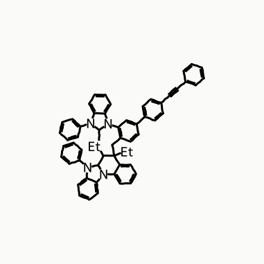 CCC1C2N(c3ccccc3)c3ccccc3N2c2ccccc2C1(CC)Cc1ccc(-c2ccc(C#Cc3ccccc3)cc2)cc1N1c2ccccc2N(c2ccccc2)C1C